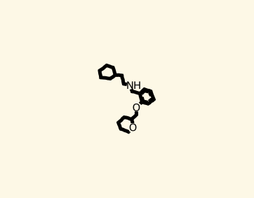 c1ccc(OCC2CCCCO2)c(CNCCC2CCCCC2)c1